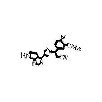 COc1cc(C(CC#N)n2cc(-c3ncnc4[nH]ccc34)cn2)ccc1Br